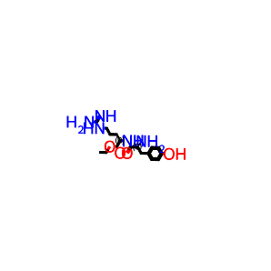 CCOC(=O)[C@@H](CCCNC(=N)N)NC(=O)[C@@H](N)Cc1ccc(O)cc1